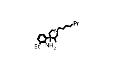 CCc1cccc(C2(C)CCN(CCCCC(C)C)CC2C)c1N